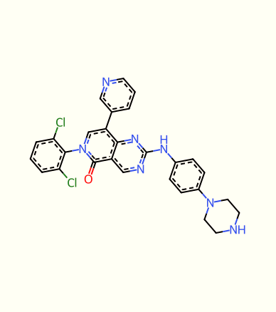 O=c1c2cnc(Nc3ccc(N4CCNCC4)cc3)nc2c(-c2cccnc2)cn1-c1c(Cl)cccc1Cl